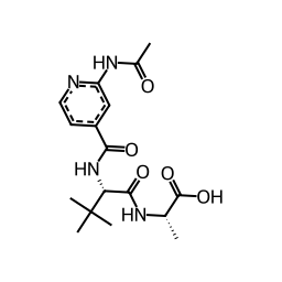 CC(=O)Nc1cc(C(=O)N[C@H](C(=O)N[C@@H](C)C(=O)O)C(C)(C)C)ccn1